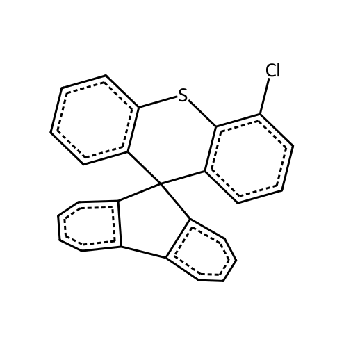 Clc1cccc2c1Sc1ccccc1C21c2ccccc2-c2ccccc21